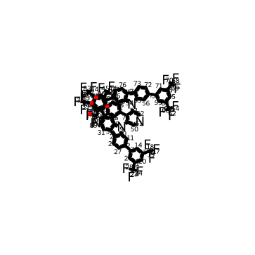 N#Cc1cccc(-c2c(-n3c4cc(-c5cc(C(F)(F)F)cc(C(F)(F)F)c5)ccc4c4ccc(-c5cc(C(F)(F)F)cc(C(F)(F)F)c5)cc43)cncc2-n2c3cc(-c4cc(C(F)(F)F)cc(C(F)(F)F)c4)ccc3c3ccc(-c4cc(C(F)(F)F)cc(C(F)(F)F)c4)cc32)c1